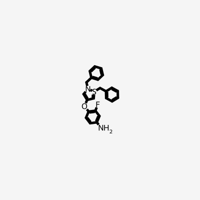 Nc1ccc(OC2=CN(Cc3ccccc3)S(Cc3ccccc3)=C2)c(F)c1